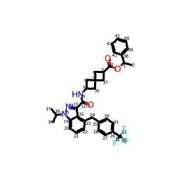 CC(OC(=O)C1CC2(CC(NC(=O)c3nn(C(C)C)c4cccc(Cc5ccc(C(F)(F)F)cc5)c34)C2)C1)c1ccccc1